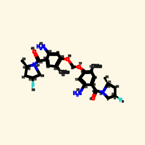 COc1cc(C(=O)N2C[C@@H](F)C[C@H]2C)c(N)cc1OCOc1cc(N)c(C(=O)N2C[C@@H](F)C[C@H]2C)cc1OC